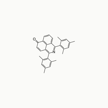 Cc1cc(C)c(-c2nc(-c3c(C)cc(C)cc3C)c3cccc4c3c2C=CC4=O)c(C)c1